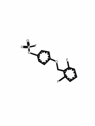 O=S(=O)(F)Oc1ccc(OCc2c(F)cccc2F)cc1